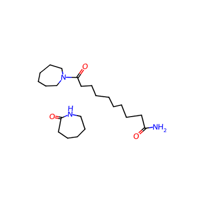 NC(=O)CCCCCCCCC(=O)N1CCCCCC1.O=C1CCCCCN1